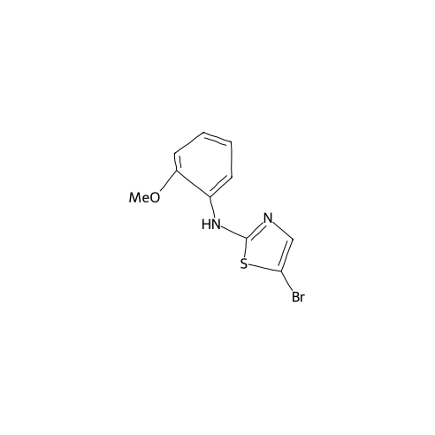 COc1ccccc1Nc1ncc(Br)s1